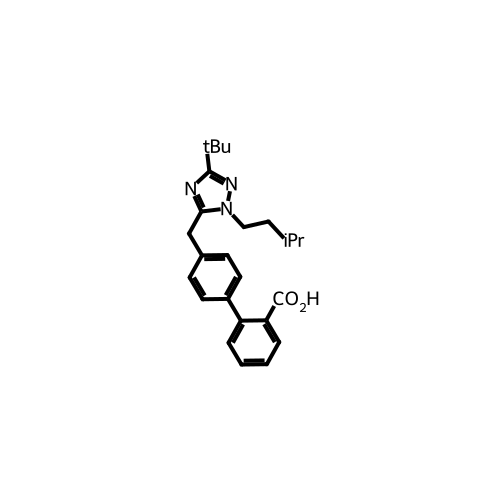 CC(C)CCn1nc(C(C)(C)C)nc1Cc1ccc(-c2ccccc2C(=O)O)cc1